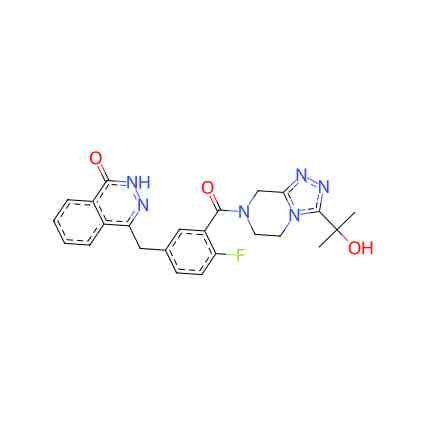 CC(C)(O)c1nnc2n1CCN(C(=O)c1cc(Cc3n[nH]c(=O)c4ccccc34)ccc1F)C2